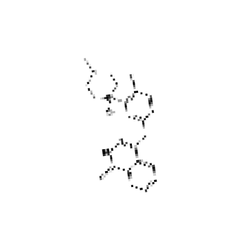 CN1CC[PH](O)(c2cc(Cc3n[nH]c(=O)c4ccccc34)ccc2F)CC1